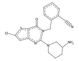 N#Cc1ccccc1Cn1c(N2CCCC(N)C2)nc2cc(Cl)sc2c1=O